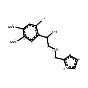 COc1cc(F)c(C(O)CNCc2cccs2)cc1OC